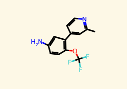 Cc1cc(-c2cc(N)ccc2OC(F)(F)F)ccn1